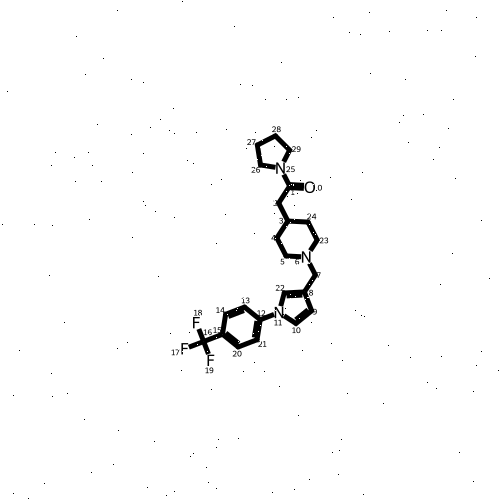 O=C(CC1CCN(Cc2ccn(-c3ccc(C(F)(F)F)cc3)c2)CC1)N1CCCC1